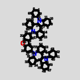 c1ccc(-n2c3c(c4ccccc42)-c2ccccc2N(c2ccc4oc5ccc(N6c7ccccc7-c7c(n(-c8ccccc8)c8ccccc78)-c7ccccc76)cc5c4c2)c2ccccc2-3)cc1